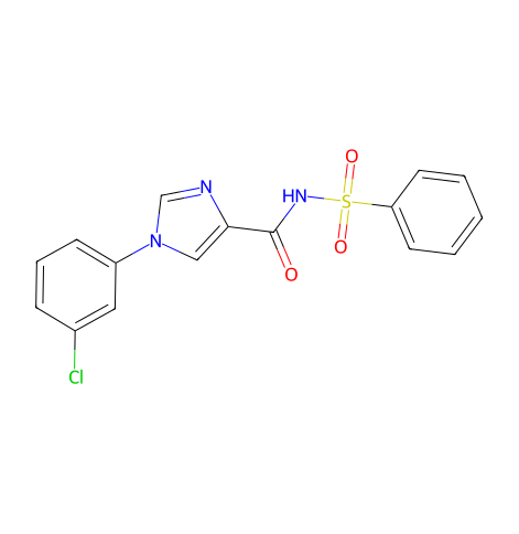 O=C(NS(=O)(=O)c1ccccc1)c1cn(-c2cccc(Cl)c2)cn1